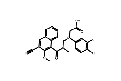 COc1c(C#N)cc2ccccc2c1C(=O)N(C)C[C@@H](CC(=O)O)c1ccc(Cl)c(Cl)c1